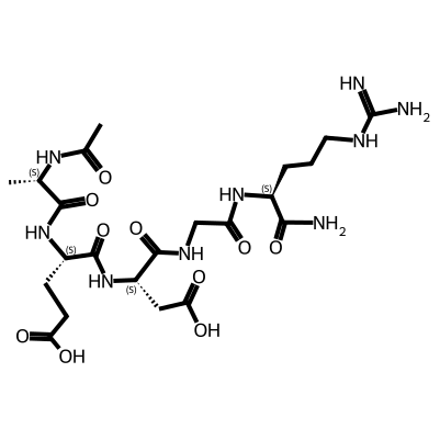 CC(=O)N[C@@H](C)C(=O)N[C@@H](CCC(=O)O)C(=O)N[C@@H](CC(=O)O)C(=O)NCC(=O)N[C@@H](CCCNC(=N)N)C(N)=O